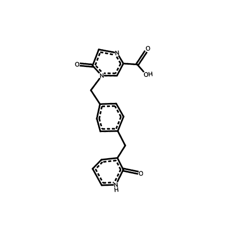 O=C(O)c1cn(Cc2ccc(Cc3ccc[nH]c3=O)cc2)c(=O)cn1